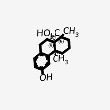 C[C@@]1(C(=O)O)CCC[C@]2(C)c3cc(O)ccc3CC[C@@H]12